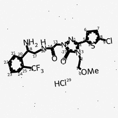 COCCn1c(-c2ccc(Cl)s2)nn(CC(=O)NCC(N)c2ccccc2C(F)(F)F)c1=O.Cl